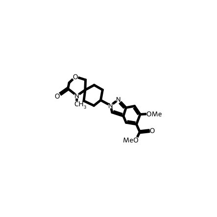 COC(=O)c1cc2cn(C3CCC4(CC3)COCC(=O)N4C)nc2cc1OC